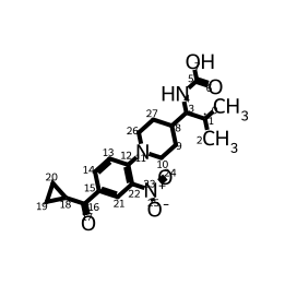 C[C](C)C(NC(=O)O)C1CCN(c2ccc(C(=O)C3CC3)cc2[N+](=O)[O-])CC1